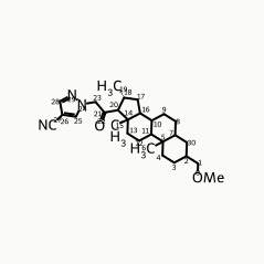 COCC1CCC2(C)C(CCC3C2CCC2(C)C3C[C@@H](C)C2C(=O)Cn2cc(C#N)cn2)C1